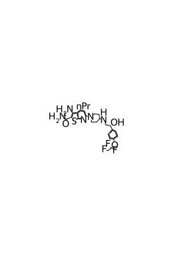 CCCc1cc(N2CCC(NCC(O)c3ccc(OC(F)(F)CF)cc3)CC2)nc2sc(C(N)=O)c(N)c12